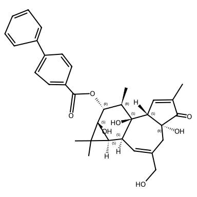 CC1=C[C@H]2[C@@]3(O)[C@H](C)[C@@H](OC(=O)c4ccc(-c5ccccc5)cc4)[C@]4(O)[C@@H]([C@@H]3C=C(CO)C[C@]2(O)C1=O)C4(C)C